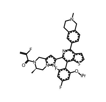 C=C(F)C(=O)N1Cc2cc(-c3nc(-c4ccc5c(c4)CCN(C)C5)c4ccsc4c3-c3c(F)cc(F)cc3OC(C)C)nn2C[C@H]1C